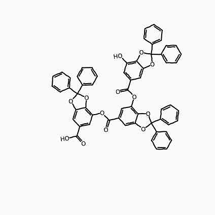 O=C(O)c1cc(OC(=O)c2cc(OC(=O)c3cc(O)c4c(c3)OC(c3ccccc3)(c3ccccc3)O4)c3c(c2)OC(c2ccccc2)(c2ccccc2)O3)c2c(c1)OC(c1ccccc1)(c1ccccc1)O2